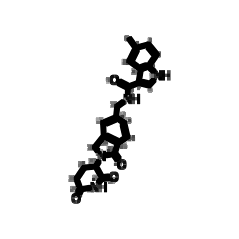 Cc1ccc2[nH]cc(C(=O)NCc3ccc4c(c3)CN(C3CCC(=O)NC3=O)C4=O)c2c1